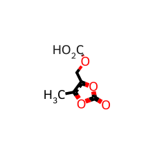 Cc1oc(=O)oc1COC(=O)O